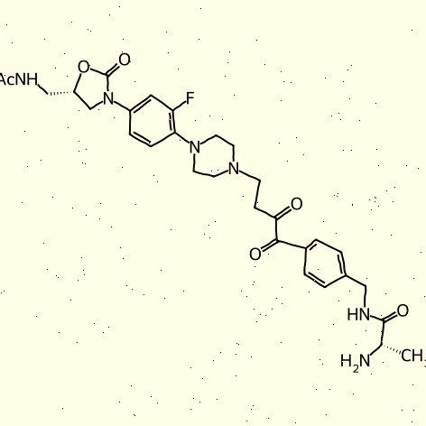 CC(=O)NC[C@H]1CN(c2ccc(N3CCN(CCC(=O)C(=O)c4ccc(CNC(=O)[C@H](C)N)cc4)CC3)c(F)c2)C(=O)O1